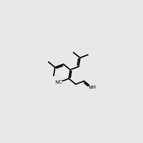 CC(C)=CC(C=C(C)C)=C(C#N)CC=N